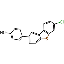 N#Cc1ccc(-c2ccc3sc4cc(Cl)ccc4c3c2)cc1